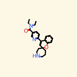 CCN(CC)C(=O)c1ccc(C2=CC3(CCCNCC3)Oc3ccccc32)nc1